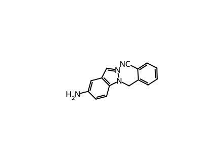 N#Cc1ccccc1Cn1ncc2cc(N)ccc21